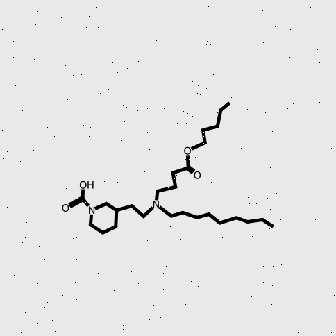 CCCCCCCCCN(CCCC(=O)OCCCCC)CCC1CCCN(C(=O)O)C1